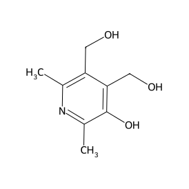 Cc1nc(C)c(CO)c(CO)c1O